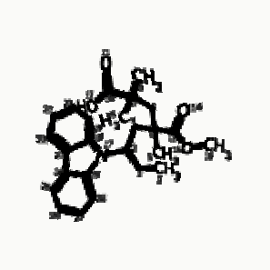 CCC(CC(C)(CC(C)(C)C(=O)O)C(=O)OC)n1c2ccccc2c2ccccc21